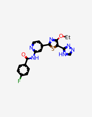 CCOc1nc(-c2ccnc(NC(=O)c3ccc(F)cc3)c2)sc1-c1nnc[nH]1